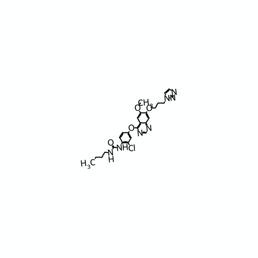 CCCCNC(=O)Nc1ccc(Oc2ncnc3cc(OCCCn4ccnn4)c(OC)cc23)cc1Cl